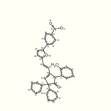 Cc1ccccc1N1C(=O)C(c2ccccc2)(c2ccccc2)N=C1C=Cc1ccc(-c2ccc([N+](=O)[O-])cc2)o1